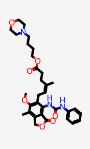 COc1c(C)c2c(c(NC(=O)Nc3ccccc3)c1CC=C(C)CCC(=O)OCCCCN1CCOCC1)C(=O)OC2